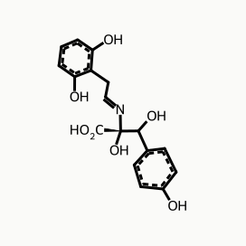 O=C(O)[C@@](O)(N=CCc1c(O)cccc1O)C(O)c1ccc(O)cc1